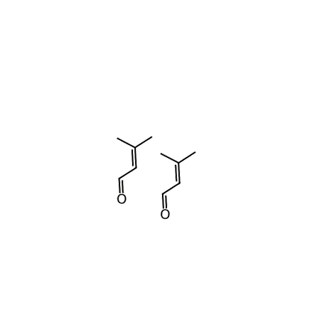 CC(C)=CC=O.CC(C)=CC=O